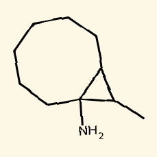 CC1C2CCCCCCC12N